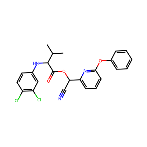 CC(C)C(Nc1ccc(Cl)c(Cl)c1)C(=O)OC(C#N)c1cccc(Oc2ccccc2)n1